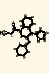 CCC(=O)N1CC(CN2CCCCC2)C(c2cnno2)c2ccccc21